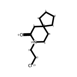 O=C1CC2(CCCC2)CCN1CCCl